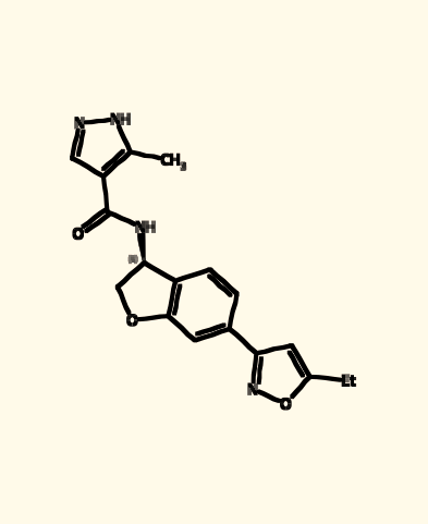 CCc1cc(-c2ccc3c(c2)OC[C@H]3NC(=O)c2cn[nH]c2C)no1